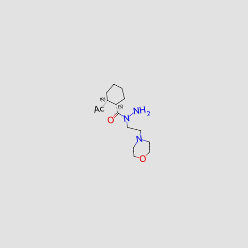 CC(=O)[C@@H]1CCCC[C@@H]1C(=O)N(N)CCN1CCOCC1